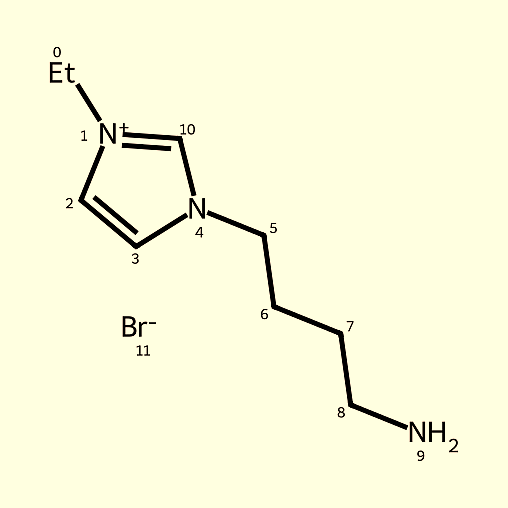 CC[n+]1ccn(CCCCN)c1.[Br-]